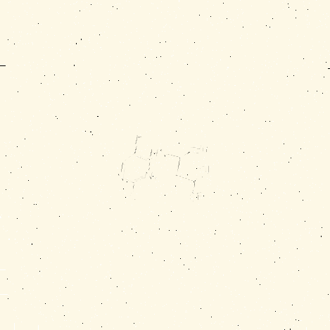 CC(C)(C)[C@@H](CC(O)C(F)(F)F)Nc1nc(Cl)ncc1F